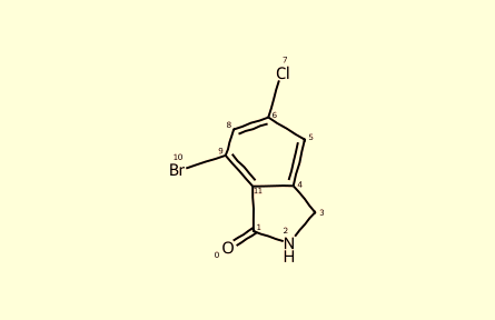 O=C1NCc2cc(Cl)cc(Br)c21